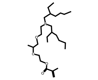 C=C(C)C(=O)OCCOC(C)COCCN(CC(CC)CCCC)CC(CC)CCCC